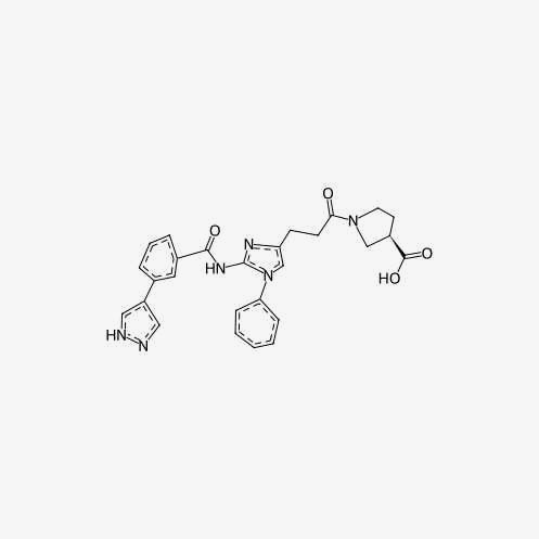 O=C(Nc1nc(CCC(=O)N2CC[C@@H](C(=O)O)C2)cn1-c1ccccc1)c1cccc(-c2cn[nH]c2)c1